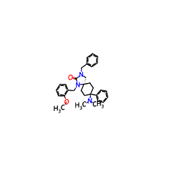 COc1ccccc1CN1C(=O)N(Cc2ccccc2)C[C@]12CC[C@](c1ccccc1)(N(C)C)CC2